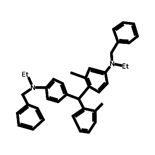 CCN(Cc1ccccc1)c1ccc(C(c2ccccc2C)c2ccc(N(CC)Cc3ccccc3)cc2C)cc1